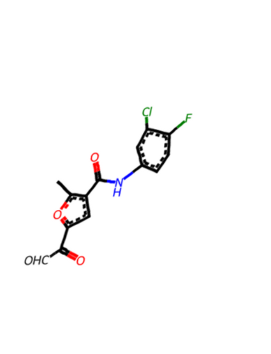 Cc1oc(C(=O)C=O)cc1C(=O)Nc1ccc(F)c(Cl)c1